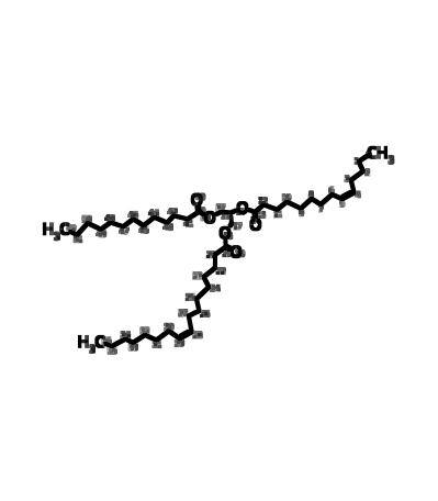 CCCC/C=C\CCCCCCCC(=O)O[C@@H](COC(=O)CCCCCCC/C=C\CCCCCCC)COC(=O)CCCCCCCCCCCC